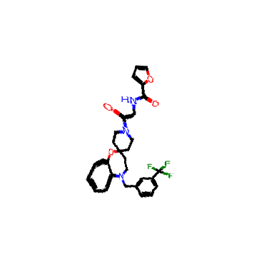 O=C(NCC(=O)N1CCC2(CC1)CCN(Cc1cccc(C(F)(F)F)c1)c1ccccc1O2)c1ccco1